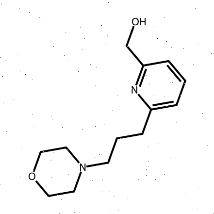 OCc1cccc(CCCN2CCOCC2)n1